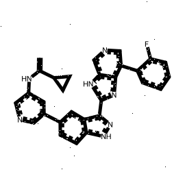 C=C(Nc1cncc(-c2ccc3[nH]nc(-c4nc5c(-c6ccccc6F)cncc5[nH]4)c3c2)c1)C1CC1